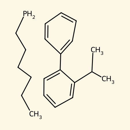 CC(C)c1ccccc1-c1ccccc1.CCCCCCP